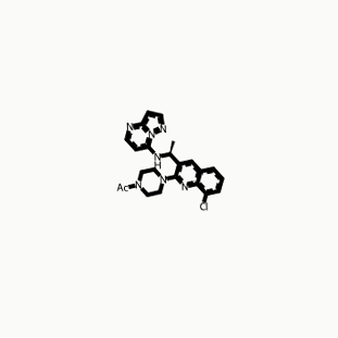 CC(=O)N1CCN(c2nc3c(Cl)cccc3cc2[C@H](C)Nc2ccnc3ccnn23)CC1